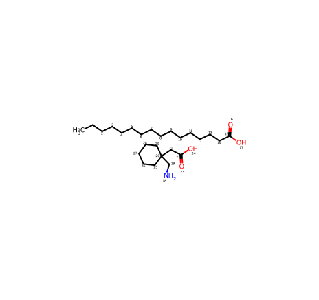 CCCCCCCCCCCCCCCC(=O)O.NCC1(CC(=O)O)CCCCC1